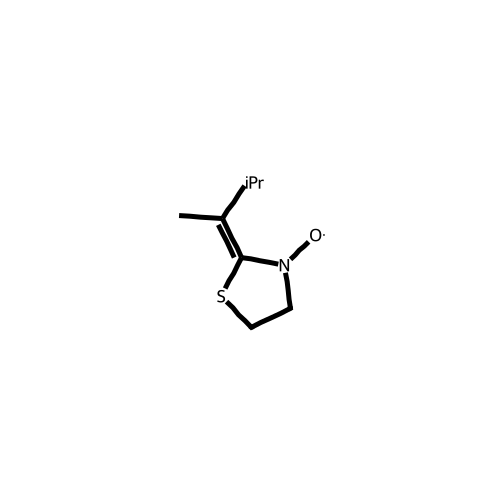 CC(=C1SCCN1[O])C(C)C